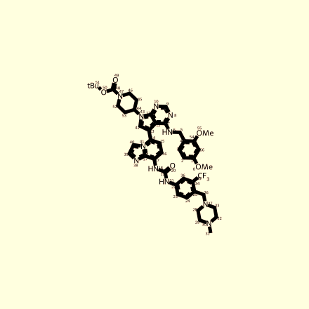 COc1ccc(CNc2ncnc3c2c(-c2ccc(NC(=O)Nc4ccc(CN5CCN(C)CC5)c(C(F)(F)F)c4)c4nccn24)cn3C2CCN(C(=O)OC(C)(C)C)CC2)c(OC)c1